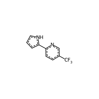 FC(F)(F)c1ccc(-c2ccc[nH]2)nc1